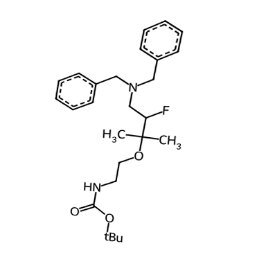 CC(C)(C)OC(=O)NCCOC(C)(C)C(F)CN(Cc1ccccc1)Cc1ccccc1